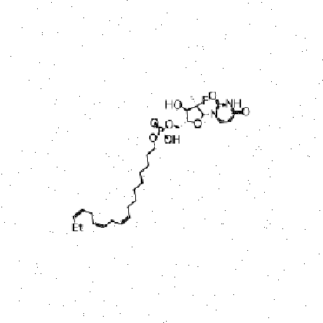 CC/C=C\C/C=C\C/C=C\CCCCCCCCOP(=O)(O)OC[C@H]1O[C@@H](n2ccc(=O)[nH]c2=O)[C@](C)(F)C1O